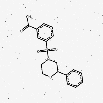 CC(=O)c1cccc(S(=O)(=O)N2CCOC(c3ccccc3)C2)c1